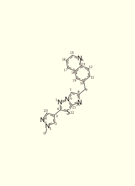 Cn1cc(-c2nn3cc(Cc4ccc5ncccc5c4)nc3s2)cn1